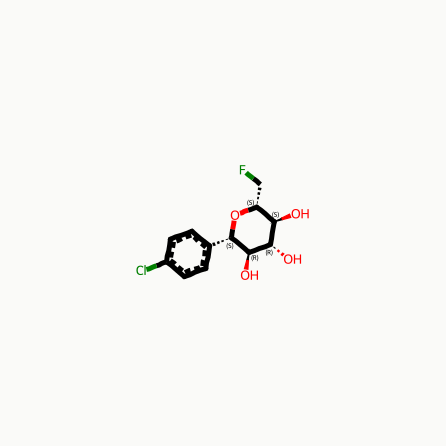 O[C@@H]1[C@@H](O)[C@H](c2ccc(Cl)cc2)O[C@H](CF)[C@H]1O